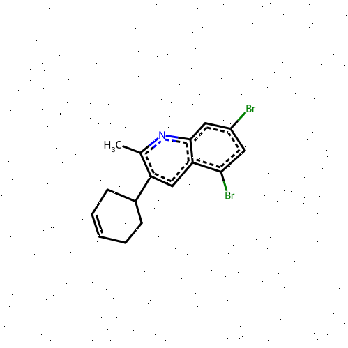 Cc1nc2cc(Br)cc(Br)c2cc1C1CC=CCC1